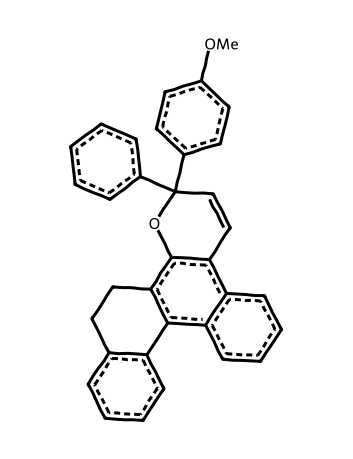 COc1ccc(C2(c3ccccc3)C=Cc3c(c4c(c5ccccc35)-c3ccccc3CC4)O2)cc1